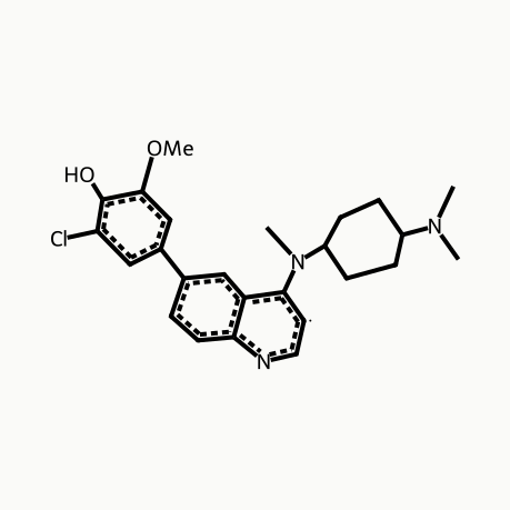 COc1cc(-c2ccc3nc[c]c(N(C)C4CCC(N(C)C)CC4)c3c2)cc(Cl)c1O